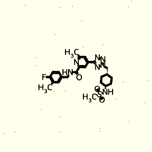 Cc1cc(-c2nnn(C[C@H]3CC[C@H](NS(C)(=O)=O)CC3)n2)cc(C(=O)NCc2ccc(F)c(C)c2)n1